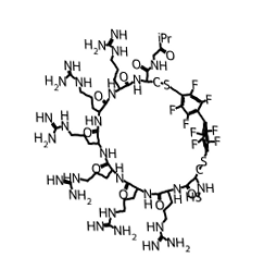 CC(C)C(=O)CNC(=O)C1CSc2c(F)c(F)c(c(F)c2F)-c2c(F)c(F)c(c(F)c2F)SCC(NS)C(=O)NC(CCCNC(=N)N)C(=O)NC(CCCNC(=N)N)C(=O)NC(CCCNC(=N)N)C(=O)NC(CCCNC(=N)N)C(=O)NC(CCCNC(=N)N)C(=O)NC(CCCNC(=N)N)C(=O)N1